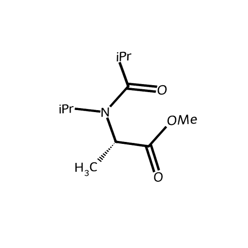 COC(=O)[C@H](C)N(C(=O)C(C)C)C(C)C